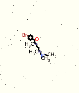 C=CCN(C)C/C=C(\C)CC/C=C(\C)C(=O)c1ccc(Br)cc1